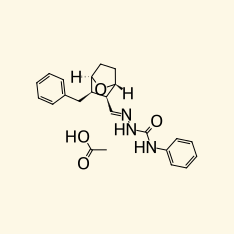 CC(=O)O.O=C(NN=C[C@H]1[C@@H](Cc2ccccc2)[C@H]2CC[C@H]1O2)Nc1ccccc1